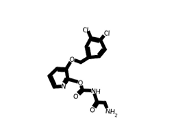 NCC(=O)NC(=O)Oc1ncccc1OCc1ccc(Cl)c(Cl)c1